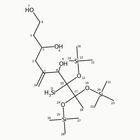 C=C(CC(O)CCO)C(O)C([SiH3])(O[Si](C)(C)C)C(C)(O[Si](C)(C)C)O[Si](C)(C)C